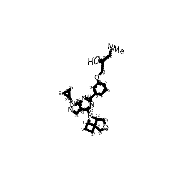 CNCC(O)COc1cccc(-c2nc(N3C4CCC45COCC35)c3cnn(C4CC4)c3n2)c1